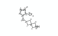 Cn1ncc(OC2CC3(CNC3)C2)c1C(F)(F)F